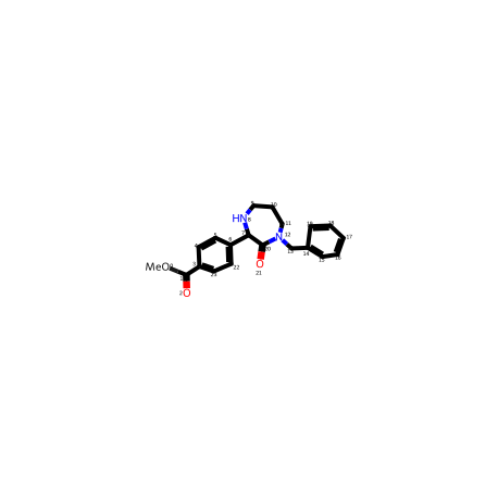 COC(=O)c1ccc(C2NCCCN(Cc3ccccc3)C2=O)cc1